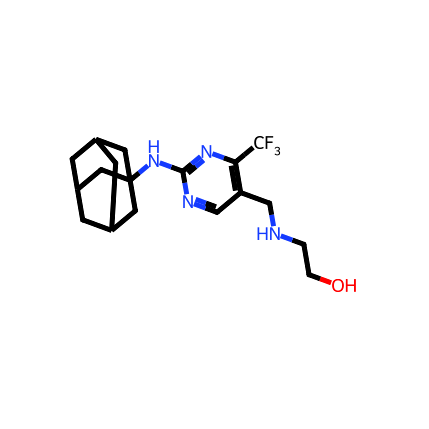 OCCNCc1cnc(NC23CC4CC(CC(C4)C2)C3)nc1C(F)(F)F